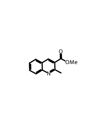 COC(=O)c1cc2ccccc2nc1C